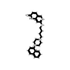 O=c1ccc2cnc(OCCCCN3CCN(c4cccc5ccccc45)CC3)cc2[nH]1